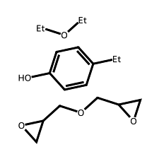 C(OCC1CO1)C1CO1.CCOCC.CCc1ccc(O)cc1